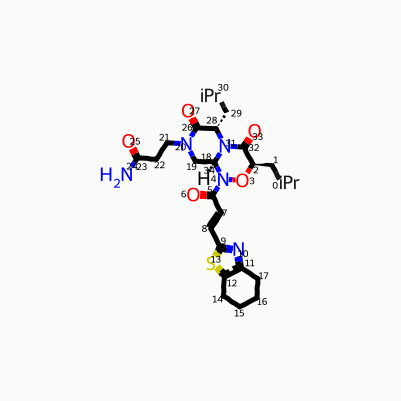 CC(C)C[C@H]1ON(C(=O)/C=C/c2nc3c(s2)CCCC3)[C@H]2CN(CCC(N)=O)C(=O)[C@H](CC(C)C)N2C1=O